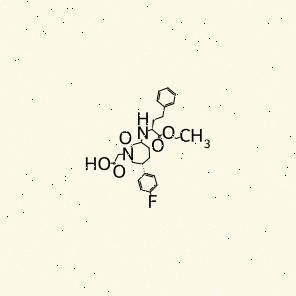 CCOC(=O)[C@H](CCc1ccccc1)N[C@H]1CC[C@H](c2ccc(F)cc2)CN(CC(=O)O)C1=O